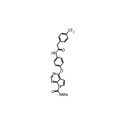 CNC(=O)n1ccc2c(Oc3ccc(NC(=O)Cc4ccc(C(F)(F)F)cc4)cc3)ncnc21